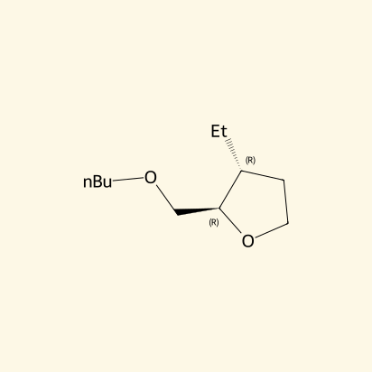 CCCCOC[C@@H]1OCC[C@H]1CC